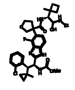 CCNC(O)[C@H](NC(=O)C1(c2ccc3[nH]c([C@@H](NC(=O)OC)[C@H](c4ccccc4Cl)C4(C)CC4)nc3c2F)CCOC1)C1(C)CCC1